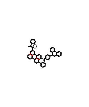 Cc1c(-c2cccc(-c3ccc(N(c4ccc(-c5cc6ccccc6c6ccccc56)cc4)c4ccccc4-c4ccc(-c5ccccc5)cc4)cc3)c2)oc2ccccc12